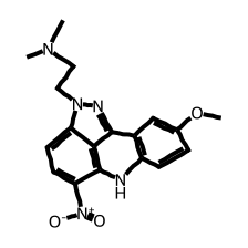 COc1ccc2c(c1)-c1nn(CCN(C)C)c3ccc([N+](=O)[O-])c(c13)N2